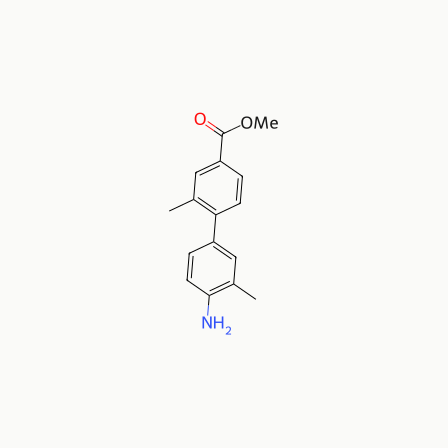 COC(=O)c1ccc(-c2ccc(N)c(C)c2)c(C)c1